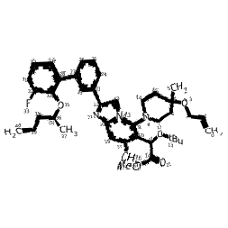 C=CCOC1(C)CCN(c2c(C(OC(C)(C)C)C(=O)OC)c(C)cc3nc(-c4cccc(-c5cccc(F)c5O[C@@H](C)CC=C)c4)cn23)CC1